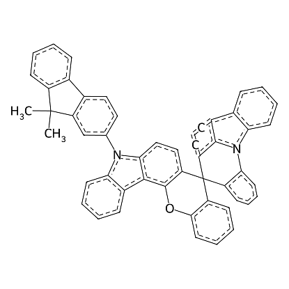 CC1(C)c2ccccc2-c2ccc(-n3c4ccccc4c4c5c(ccc43)C3(c4ccccc4O5)c4ccccc4-n4c5ccccc5c5cccc3c54)cc21